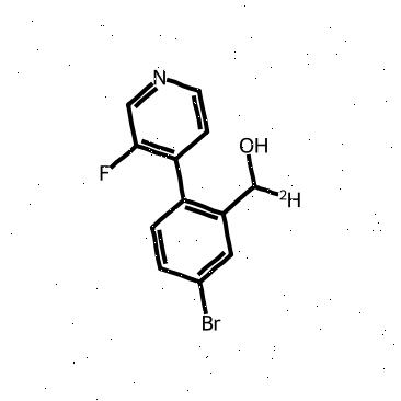 [2H]C(O)c1cc(Br)ccc1-c1ccncc1F